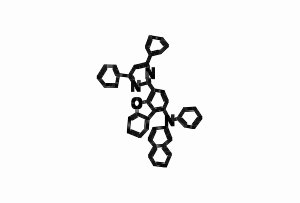 c1ccc(-c2cc(-c3ccccc3)nc(-c3ccc(N(c4ccccc4)c4ccc5ccccc5c4)c4c3oc3ccccc34)n2)cc1